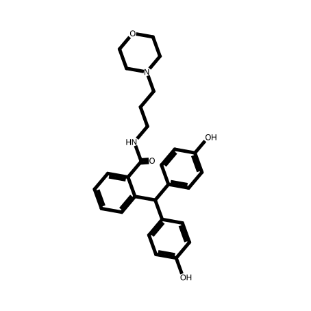 O=C(NCCCN1CCOCC1)c1ccccc1C(c1ccc(O)cc1)c1ccc(O)cc1